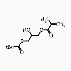 C=C(C)C(=O)OCC(O)CSC(=O)C(C)(C)C